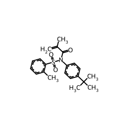 C=C(C)C(=O)N(c1ccc(C(C)(C)C)cc1)S(=O)(=O)c1ccccc1C